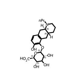 CCCN1CCC[C@@H]2Cc3c(ccc(O)c3O[C@@H]3O[C@H](C(=O)O)[C@@H](O)C(O)[C@H]3O)C[C@H]21